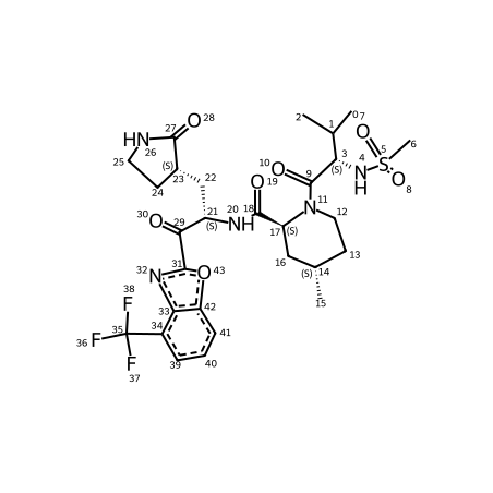 CC(C)[C@H](NS(C)(=O)=O)C(=O)N1CC[C@H](C)C[C@H]1C(=O)N[C@@H](C[C@@H]1CCNC1=O)C(=O)c1nc2c(C(F)(F)F)cccc2o1